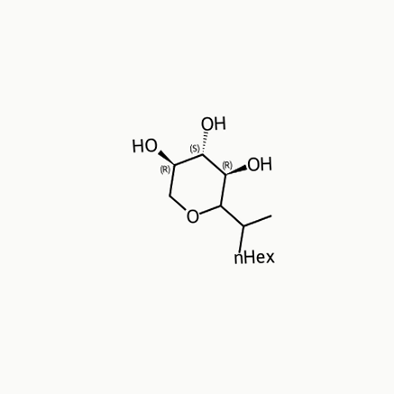 CCCCCCC(C)C1OC[C@@H](O)[C@H](O)[C@H]1O